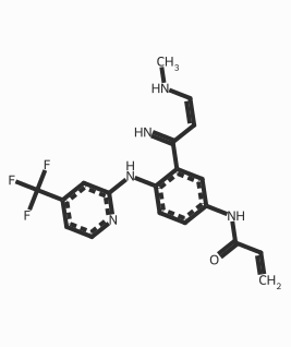 C=CC(=O)Nc1ccc(Nc2cc(C(F)(F)F)ccn2)c(C(=N)/C=C\NC)c1